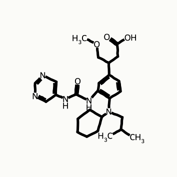 COCC(CC(=O)O)c1ccc(N(CC(C)C)C2CCCCC2)c(NC(=O)Nc2cncnc2)c1